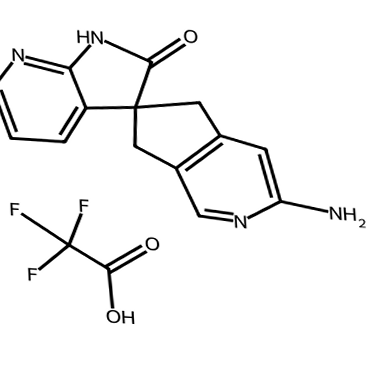 Nc1cc2c(cn1)CC1(C2)C(=O)Nc2ncccc21.O=C(O)C(F)(F)F